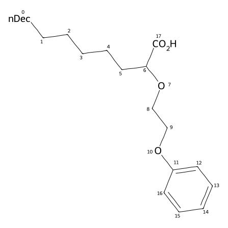 CCCCCCCCCCCCCCCC(OCCOc1ccccc1)C(=O)O